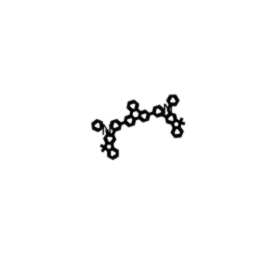 CC1(C)c2ccccc2-c2cc3c4cc(-c5ccc6c7ccc(-c8ccc9c(c8)c8cc%10c(cc8n9-c8ccccc8)C(C)(C)c8ccccc8-%10)cc7c7ccccc7c6c5)ccc4n(-c4ccccc4)c3cc21